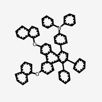 c1ccc(-c2cc(-c3ccc(N(c4ccccc4)c4ccccc4)cc3)c3c4ccc(Oc5cccc6ccccc56)cc4c4cc(Oc5cccc6ccccc56)ccc4c3c2-c2ccccc2)cc1